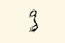 C(#Cc1ccno1)CC1COCCN1